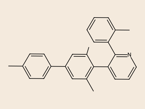 Cc1ccc(-c2cc(C)c(-c3cccnc3-c3ccccc3C)c(C)c2)cc1